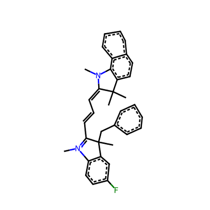 CN1/C(=C/C=C/C2=[N+](C)c3ccc(F)cc3C2(C)Cc2ccccc2)C(C)(C)c2ccc3ccccc3c21